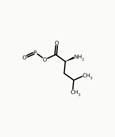 CC(C)C[C@H](N)C(=O)OP=O